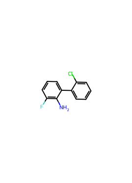 Nc1c(F)cccc1-c1ccccc1Cl